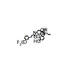 C=CCN1CC[C@]23c4c5ccc(O)c4OC2C(N(C)C(=O)/C=C/c2cccc(OC(F)(F)F)c2)C=C[C@@]3(O)[C@H]1C5